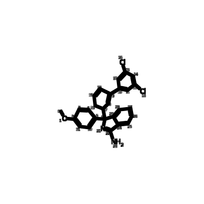 COc1ccc(C2(C3C=C(c4cc(Cl)cc(Cl)c4)C=CC3)N=C(N)c3ccccc32)cc1